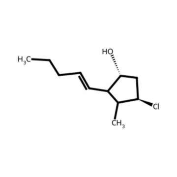 CCC/C=C/C1C(C)[C@H](Cl)C[C@H]1O